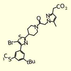 Cc1cc(CC(=O)O)nn1CC(=O)N1CCC(c2nc(-c3cc(SC(F)(F)F)cc(C(C)(C)C)c3)c(Br)s2)CC1